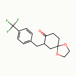 O=C1CCC2(CC1Cc1ccc(C(F)(F)F)cc1)OCCO2